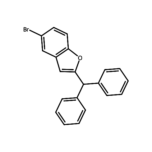 Brc1ccc2oc(C(c3ccccc3)c3ccccc3)cc2c1